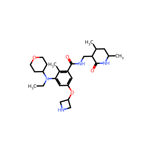 CCN(c1cc(OC2CNC2)cc(C(=O)NCC2C(=O)NC(C)CC2C)c1C)C1CCOCC1